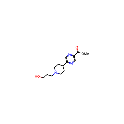 COC(=O)c1cnc(C2CCN(CCCO)CC2)cn1